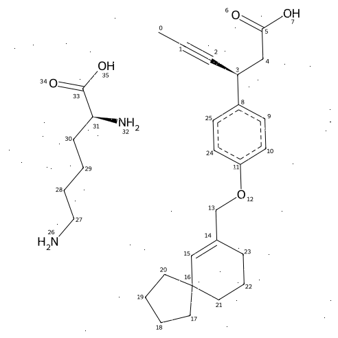 CC#C[C@@H](CC(=O)O)c1ccc(OCC2=CC3(CCCC3)CCC2)cc1.NCCCC[C@H](N)C(=O)O